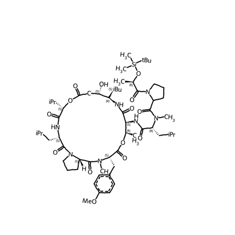 CC[C@H](C)[C@H]1NC(=O)[C@@H](NC(=O)[C@@H](CC(C)C)N(C)C(=O)C2CCCN2C(=O)[C@@H](C)O[Si](C)(C)C(C)(C)C)[C@@H](C)OC(=O)[C@H](Cc2ccc(OC)cc2)N(C)C(=O)[C@@H]2CCCN2C(=O)[C@H](CC(C)C)NC(=O)[C@H](C(C)C)OC(=O)C[C@@H]1O